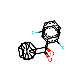 O=C(c1ccccc1F)[C]12[CH]3[CH]4[CH]5[CH]1[Fe]45321678[CH]2[CH]1[CH]6[C]7(C(=O)c1ccccc1F)[CH]28